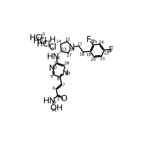 Cl.Cl.Cl.Cl.O=C(C=Cc1cnc(N[C@@H]2CCN(CCc3ccc(F)cc3F)C2)cn1)NO